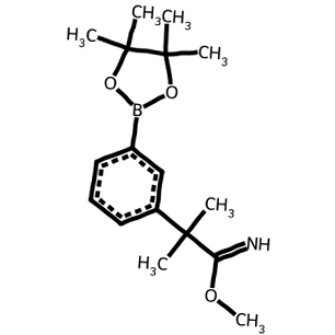 COC(=N)C(C)(C)c1cccc(B2OC(C)(C)C(C)(C)O2)c1